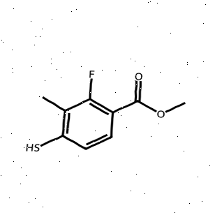 COC(=O)c1ccc(S)c(C)c1F